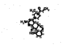 C=CC(=O)N1CCN(c2nc(N)nc3c(F)c(-c4c(O)cccc4F)c(Cl)cc23)C[C@@H]1C